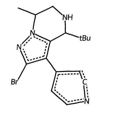 CC1CNC(C(C)(C)C)c2c(-c3ccncc3)c(Br)nn21